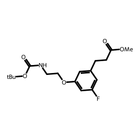 COC(=O)CCc1cc(F)cc(OCCNC(=O)OC(C)(C)C)c1